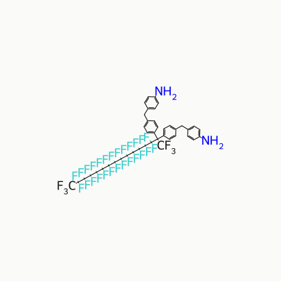 Nc1ccc(Cc2ccc(C(c3ccc(Cc4ccc(N)cc4)cc3)(C(F)(F)F)C(F)(F)C(F)(F)C(F)(F)C(F)(F)C(F)(F)C(F)(F)C(F)(F)C(F)(F)C(F)(F)C(F)(F)C(F)(F)C(F)(F)C(F)(F)C(F)(F)F)cc2)cc1